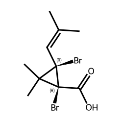 CC(C)=C[C@@]1(Br)C(C)(C)[C@@]1(Br)C(=O)O